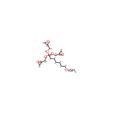 [SiH3]OCCCCCCC(OCC1CO1)(OCC1CO1)OCC1CO1